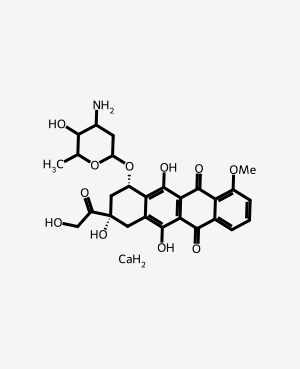 COc1cccc2c1C(=O)c1c(O)c3c(c(O)c1C2=O)C[C@@](O)(C(=O)CO)C[C@@H]3OC1CC(N)C(O)C(C)O1.[CaH2]